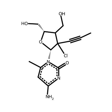 CC#CC1(Cl)C(CO)[C@@H](CO)O[C@H]1n1c(C)cc(N)nc1=O